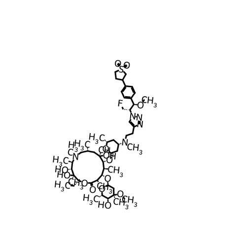 CC[C@H]1OC(=O)[C@H](C)[C@@H](O[C@H]2C[C@@](C)(OC)[C@@H](O)[C@H](C)O2)[C@H](C)[C@@H](O[C@H]2C[C@@H](N(C)CCc3cn([C@H](CF)[C@H](OC)c4ccc(C5CCS(=O)(=O)C5)cc4)nn3)C[C@@H](C)O2)[C@](C)(O)C[C@@H](C)CN(C)[C@H](C)[C@@H](O)[C@]1(C)O